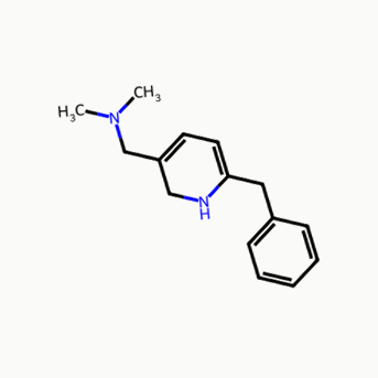 CN(C)CC1=CC=C(Cc2ccccc2)NC1